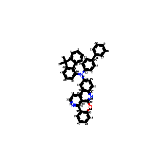 CC1(C)c2ccccc2-c2c(N(c3ccc(-c4ccccc4)cc3)c3ccc4nc5c6c(nccc6c4c3)-c3ccccc3O5)cccc21